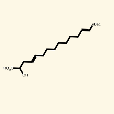 CCCCCCCCCCC=CCCCCCCCC=CCC(O)C(=O)O